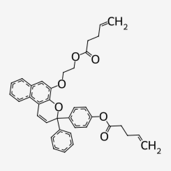 C=CCCC(=O)OCCOc1cc2ccccc2c2c1OC(c1ccccc1)(c1ccc(OC(=O)CCC=C)cc1)C=C2